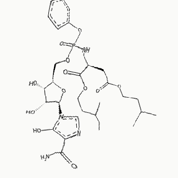 CC(C)CCOC(=O)C[C@H](NP(=O)(OC[C@H]1O[C@@H](n2cnc(C(N)=O)c2O)[C@H](O)[C@@H]1O)Oc1ccccc1)C(=O)OCCC(C)C